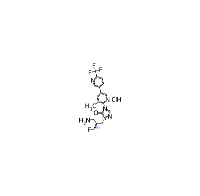 Cc1cc(-c2ccc(C(F)(F)F)nc2)cnc1-n1cnn(C/C(=C/F)CN)c1=O.Cl